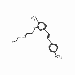 Nc1ccc(/C=C/c2ccc(N)c(OCCOCCF)c2)cc1